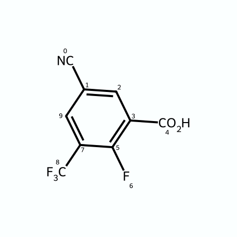 N#Cc1cc(C(=O)O)c(F)c(C(F)(F)F)c1